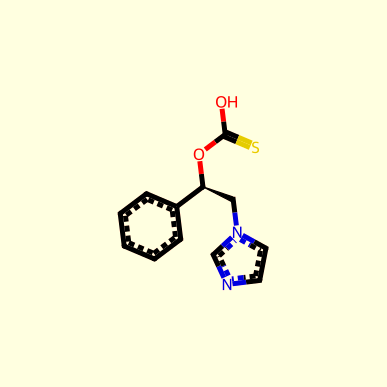 OC(=S)O[C@@H](Cn1ccnc1)c1ccccc1